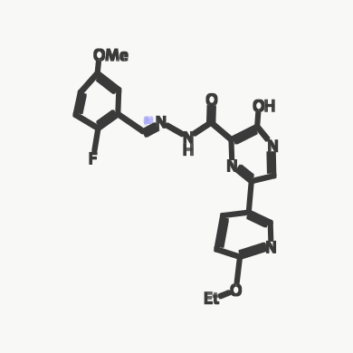 CCOc1ccc(-c2cnc(O)c(C(=O)N/N=C/c3cc(OC)ccc3F)n2)cn1